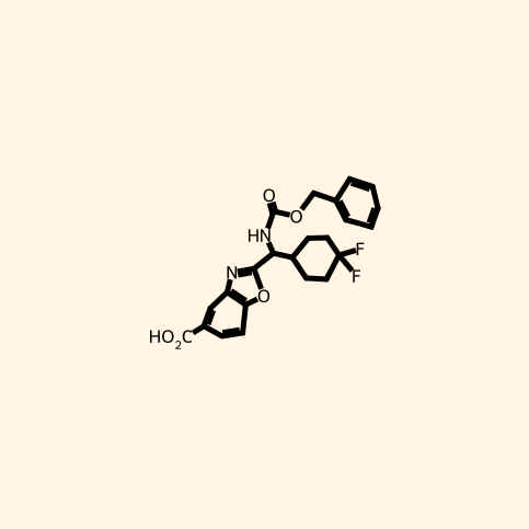 O=C(NC(c1nc2cc(C(=O)O)ccc2o1)C1CCC(F)(F)CC1)OCc1ccccc1